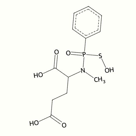 CN(C(CCC(=O)O)C(=O)O)P(=O)(SO)c1ccccc1